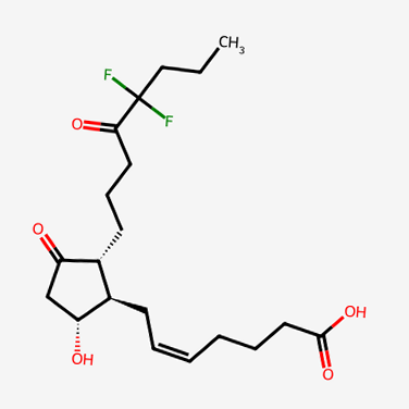 CCCC(F)(F)C(=O)CCC[C@H]1C(=O)C[C@@H](O)[C@@H]1C/C=C\CCCC(=O)O